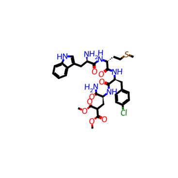 COC(=O)C(C[C@H](NC(=O)[C@H](Cc1ccc(Cl)cc1)NC(=O)[C@@H](CCSC)NC(=O)[C@H](N)Cc1c[nH]c2ccccc12)C(N)=O)C(=O)OC